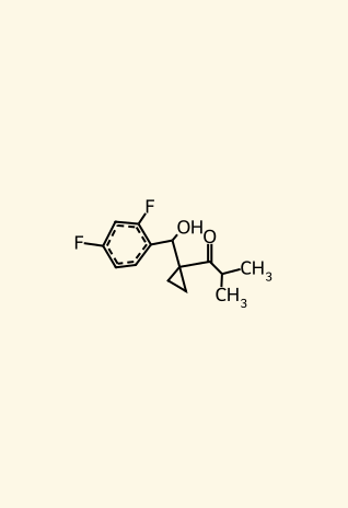 CC(C)C(=O)C1(C(O)c2ccc(F)cc2F)CC1